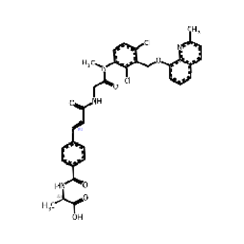 Cc1ccc2cccc(OCc3c(Cl)ccc(N(C)C(=O)CNC(=O)/C=C/c4ccc(C(=O)N[C@H](C)C(=O)O)cc4)c3Cl)c2n1